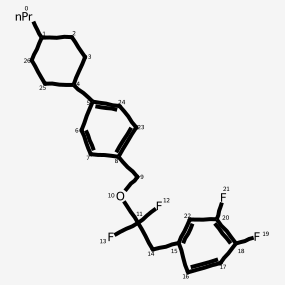 CCCC1CCC(c2ccc(COC(F)(F)Cc3ccc(F)c(F)c3)cc2)CC1